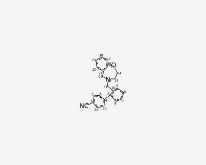 N#Cc1ccc(-c2ccccc2CN2CCOc3ccccc3C2)cc1